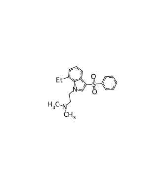 CCc1cccc2c(S(=O)(=O)c3ccccc3)cn(CCN(C)C)c12